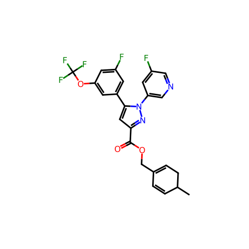 CC1C=CC(COC(=O)c2cc(-c3cc(F)cc(OC(F)(F)F)c3)n(-c3cncc(F)c3)n2)=CC1